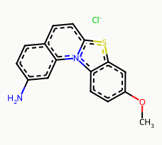 COc1ccc2c(c1)sc1ccc3ccc(N)cc3[n+]12.[Cl-]